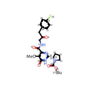 COc1c(C(=O)NCC(=O)Cc2ccc(F)cc2)nc([C@@H]2CCCN2C(=O)OC(C)(C)C)[nH]c1=O